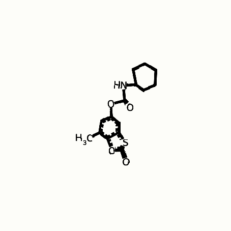 Cc1cc(OC(=O)NC2CCCCC2)cc2sc(=O)oc12